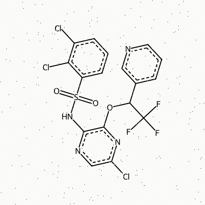 O=S(=O)(Nc1ncc(Cl)nc1OC(c1cccnc1)C(F)(F)F)c1cccc(Cl)c1Cl